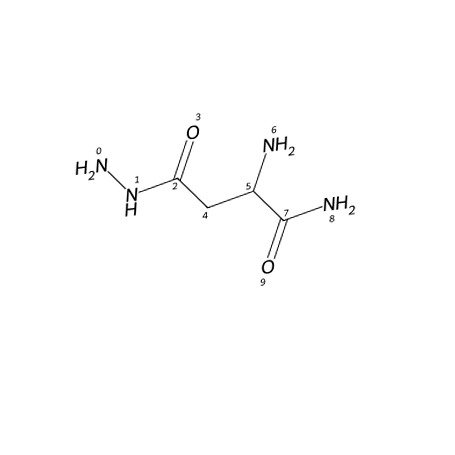 NNC(=O)CC(N)C(N)=O